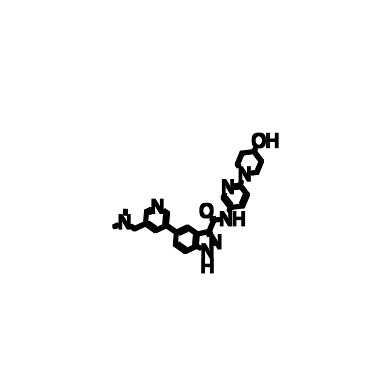 CN(C)Cc1cncc(-c2ccc3[nH]nc(C(=O)Nc4ccc(N5CCC(O)CC5)nc4)c3c2)c1